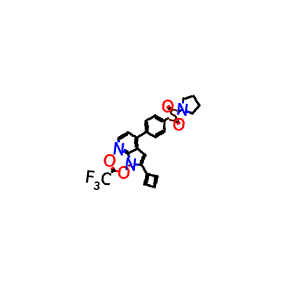 O=C(On1c(C2=CC=C2)cc2c(-c3ccc(S(=O)(=O)N4CCCC4)cc3)ccnc21)C(F)(F)F